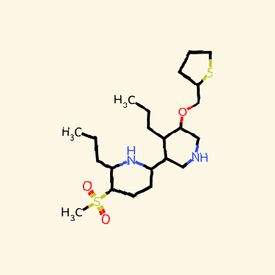 CCCC1NC(C2CNCC(OCC3CCCS3)C2CCC)CCC1S(C)(=O)=O